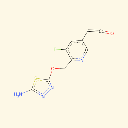 Nc1nnc(OCc2ncc(C=C=O)cc2F)s1